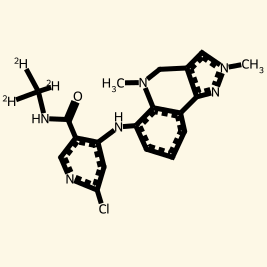 [2H]C([2H])([2H])NC(=O)c1cnc(Cl)cc1Nc1cccc2c1N(C)Cc1cn(C)nc1-2